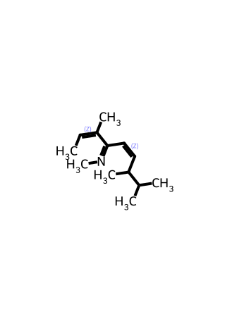 C/C=C(/C)C(/C=C\C(C)C(C)C)=NC